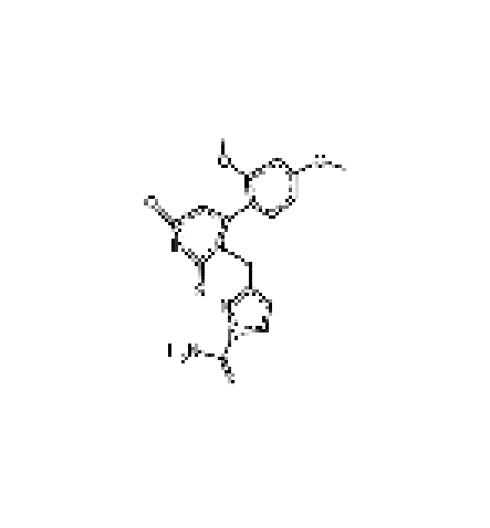 COc1ccc(-c2cc(=O)[nH]c(=S)n2Cc2ccn(C(N)=S)n2)c(OC)c1